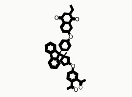 CCC1CC(=O)C2=CC=C(OC3=CC[C@@H](C4([C@]5(C)C=C(Oc6ccc(C(C)=O)c(C(C)=O)c6)CC5)c5ccccc5-c5ccccc54)C=C3)CC2C1=O